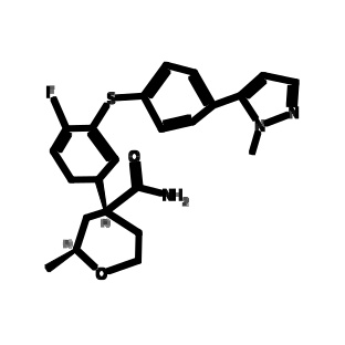 C[C@H]1C[C@@](C(N)=O)(C2C=C(Sc3ccc(-c4ccnn4C)cc3)C(F)=CC2)CCO1